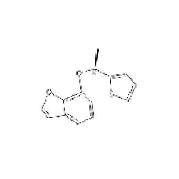 C[C@H](Oc1cccc2ccoc12)c1cccs1